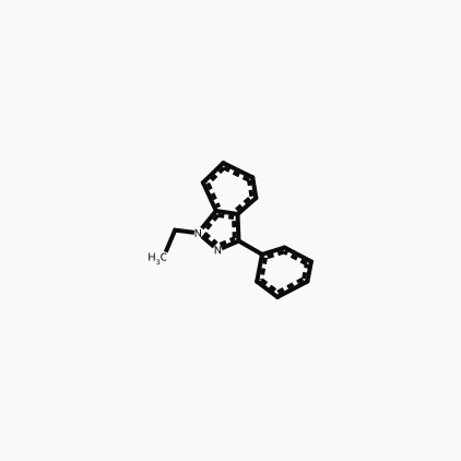 CCn1nc(-c2ccccc2)c2ccccc21